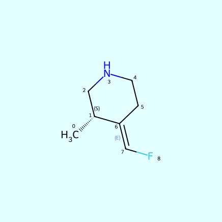 C[C@@H]1CNCC/C1=C\F